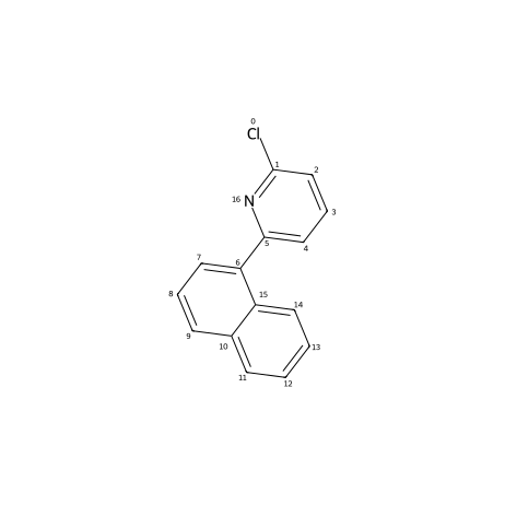 Clc1cccc(-c2cccc3ccccc23)n1